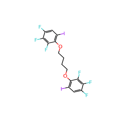 Fc1cc(I)c(OCCCCOc2c(I)cc(F)c(F)c2F)c(F)c1F